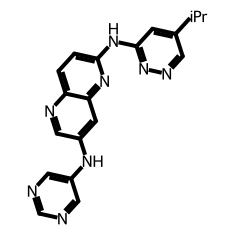 CC(C)c1cnnc(Nc2ccc3ncc(Nc4cncnc4)cc3n2)c1